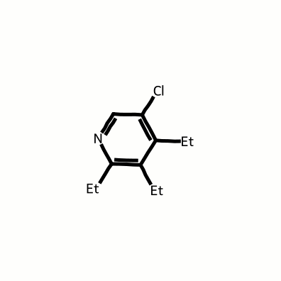 CCc1ncc(Cl)c(CC)c1CC